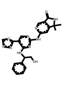 CC1(C)NC(=O)c2cnc(Nc3ncc(-c4nnco4)c(NC(CO)c4ccccc4)n3)cc21